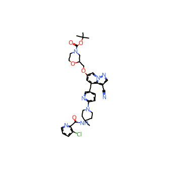 CC1(NC(=O)c2ncccc2Cl)CCN(c2ccc(-c3cc(OCC4CN(C(=O)OC(C)(C)C)CCO4)cn4ncc(C#N)c34)cn2)CC1